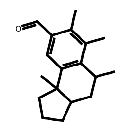 Cc1c(C=O)cc2c(c1C)C(C)CC1CCCC21C